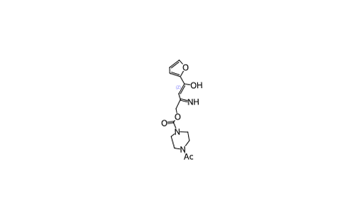 CC(=O)N1CCN(C(=O)OCC(=N)/C=C(\O)c2ccco2)CC1